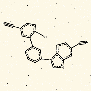 N#Cc1ccc(Cl)c(-c2cccc(-n3cnc4cc(C#N)ccc43)c2)c1